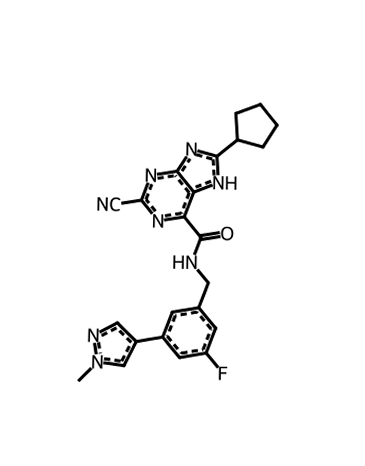 Cn1cc(-c2cc(F)cc(CNC(=O)c3nc(C#N)nc4nc(C5CCCC5)[nH]c34)c2)cn1